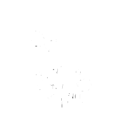 C[C@H](N)C(=O)N[C@H](C(=O)N1C[C@@H](Oc2ccccc2)C[C@H]1Cc1coc2ccccc12)C(C)(C)C